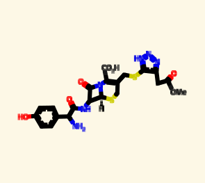 COC(=O)Cc1nn[nH]c1SCC1=C(C(=O)O)N2C(=O)C(NC(=O)C(N)c3ccc(O)cc3)[C@@H]2SC1